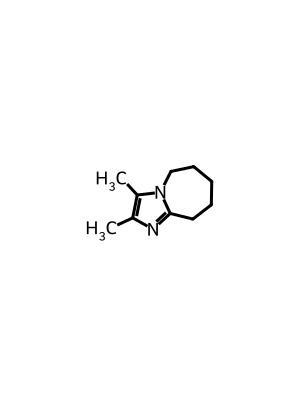 Cc1nc2n(c1C)CCCCC2